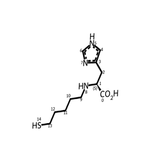 O=C(O)[C@H](Cc1c[nH]cn1)NCCCCCS